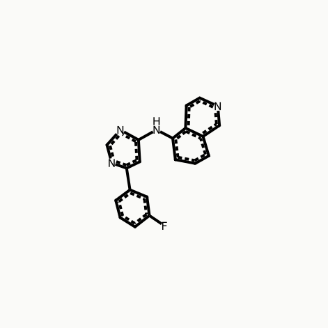 Fc1cccc(-c2cc(Nc3cccc4cnccc34)ncn2)c1